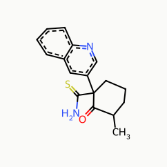 CC1CCCC(C(N)=S)(c2cnc3ccccc3c2)C1=O